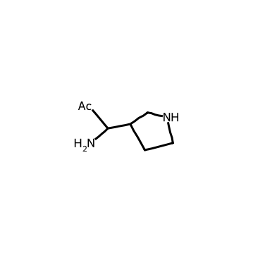 CC(=O)C(N)C1CCNC1